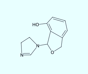 Oc1cccc2c1C(N1C=NCC1)OC2